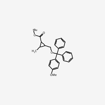 COc1ccc(C(OCC2C(C)C2C(=O)OC(C)(C)C)(c2ccccc2)c2ccccc2)cc1